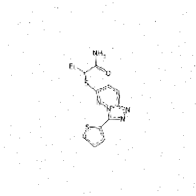 CCC(Sc1ccc2nnc(-c3cccs3)n2n1)C(N)=O